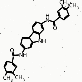 Cc1ccc(C(=O)Nc2ccc3c(c2)[nH]c2cc(NC(=O)c4ccc(C)c(C)c4)ccc23)cc1C